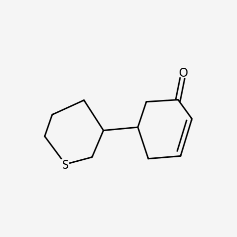 O=C1C=CCC(C2CCCSC2)C1